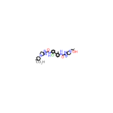 Cc1c(NC(=O)c2nc3c(n2C)CCN(C[C@@H](C)O)C3)cccc1-c1cccc(NC(=O)c2nc3c(n2C)CCN(C2CCC(C)(C(=O)O)CC2)C3)c1Cl